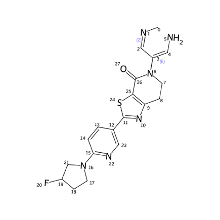 C/N=C\C(=C/N)N1CCc2nc(-c3ccc(N4CCC(F)C4)nc3)sc2C1=O